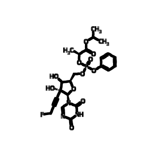 CC(C)OC(=O)[C@H](C)OP(=O)(OC[C@H]1O[C@@H](n2cnc(=O)[nH]c2=O)[C@@](O)(C#CCF)C1O)Oc1ccccc1